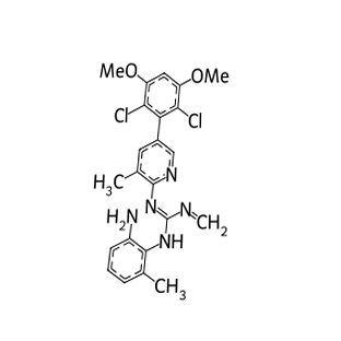 C=N/C(=N\c1ncc(-c2c(Cl)c(OC)cc(OC)c2Cl)cc1C)Nc1c(C)cccc1N